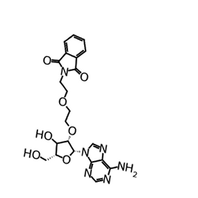 Nc1ncnc2c1ncn2[C@@H]1O[C@H](CO)C(O)[C@@H]1OCCOCCN1C(=O)c2ccccc2C1=O